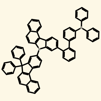 c1ccc(N(c2ccccc2)c2cccc(-c3ccccc3-c3ccc4c5c6ccccc6ccc5n(-c5ccc6c(c5)C(c5ccccc5)(c5ccccc5)c5ccc7ccccc7c5-6)c4c3)c2)cc1